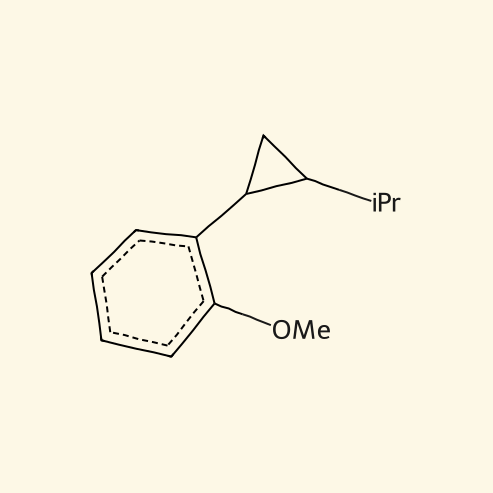 COc1ccccc1C1CC1C(C)C